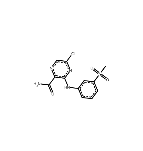 CS(=O)(=O)c1cccc(Nc2nc(Cl)cnc2C(N)=O)c1